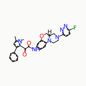 Cc1cc(-c2ccccc2)c(C(=O)C(=O)Nc2ccc3c(c2)OC[C@@H]2CN(c4ccc(F)nn4)CCN32)n1C